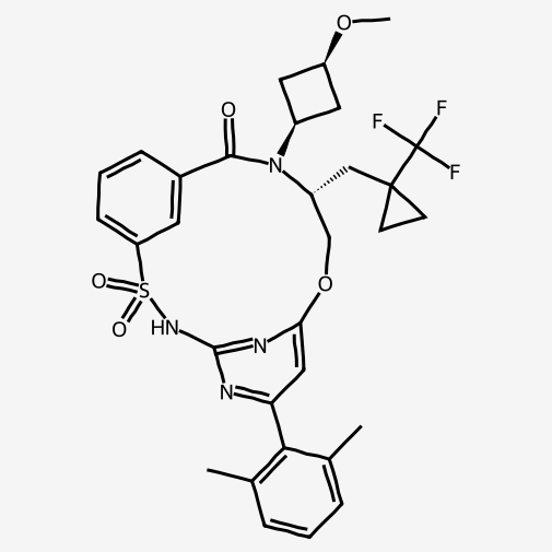 CO[C@H]1C[C@@H](N2C(=O)c3cccc(c3)S(=O)(=O)Nc3nc(cc(-c4c(C)cccc4C)n3)OC[C@H]2CC2(C(F)(F)F)CC2)C1